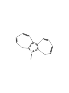 Cn1c2c(c3c1CC=CC=C3)C=CC=CC2